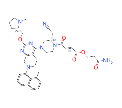 Cc1cccc2cccc(N3CCc4c(nc(OC[C@@H]5CCCN5C)nc4N4CCN(C(=O)/C=C/C(=O)OCCC(N)=O)[C@@H](CC#N)C4)C3)c12